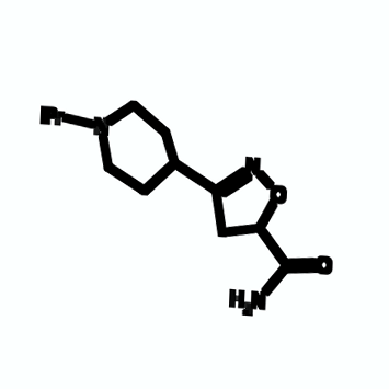 CC(C)N1CCC(C2=NOC(C(N)=O)C2)CC1